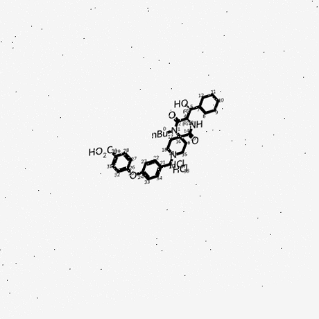 CCCCN1C(=O)[C@@H]([C@H](O)C2CCCCC2)NC(=O)C12CCN(Cc1ccc(Oc3ccc(C(=O)O)cc3)cc1)CC2.Cl.Cl